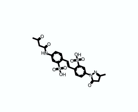 CC(=O)CC(=O)Nc1ccc(/C=C/c2ccc(N3N=C(C)CC3=O)cc2S(=O)(=O)O)c(S(=O)(=O)O)c1